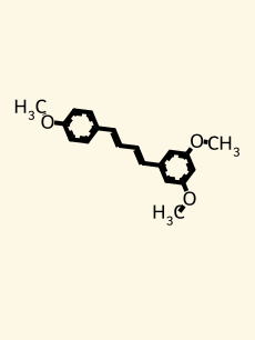 COc1ccc(C=CC=Cc2cc(OC)cc(OC)c2)cc1